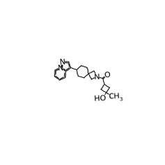 CC1(O)CC(C(=O)N2CC3(CCC(c4cnn5ccccc45)CC3)C2)C1